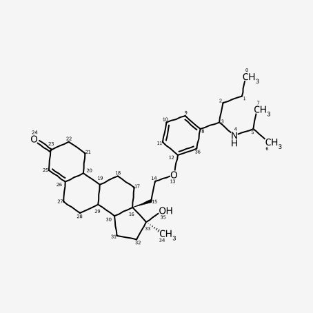 CCCC(NC(C)C)c1cccc(OCC[C@]23CCC4C5CCC(=O)C=C5CCC4C2CC[C@]3(C)O)c1